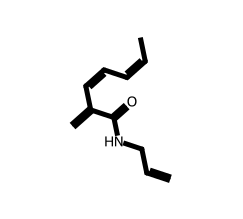 C=CCNC(=O)C(=C)/C=C\C=C/C